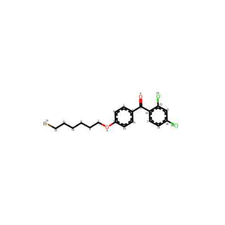 O=C(c1ccc(OCCCCCCBr)cc1)c1ccc(Cl)cc1Cl